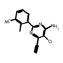 C#Cc1nc(-c2cccc(C#N)c2C)nc(N)c1Cl